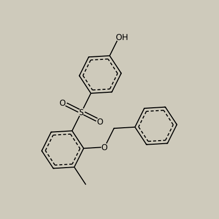 Cc1cccc(S(=O)(=O)c2ccc(O)cc2)c1OCc1ccccc1